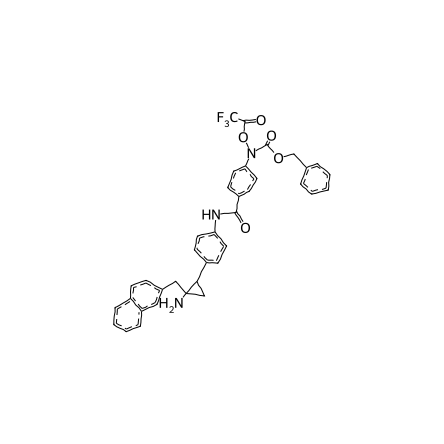 NC1(Cc2ccc3ccccc3c2)CC1c1ccc(NC(=O)c2ccc(N(OC(=O)C(F)(F)F)C(=O)OCc3ccccc3)cc2)cc1